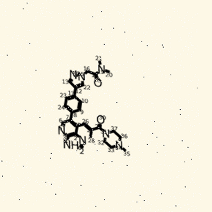 C=Nc1c(N)ncc(-c2ccc(-c3cnn(CC(=O)N(C)C)c3)cc2)c1/C=C(\C)C(=O)N1CCN(C)CC1